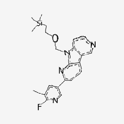 Cc1cc(-c2ccc3c4cnccc4n(COCC[Si](C)(C)C)c3n2)cnc1F